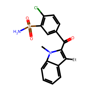 CCc1c(C(=O)c2ccc(Cl)c(S(N)(=O)=O)c2)n(C)c2ccccc12